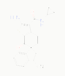 N#CCCC1(c2ccccc2)CCc2c(sc(N)c2C(=O)NC2CC2)C1=O